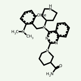 COc1cccc(N(C)C)c1CN(c1nc(N2CCCC(C(N)=O)C2)nc2ccccc12)C1CCNCC1